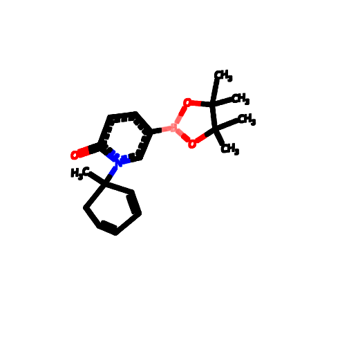 CC1(n2cc(B3OC(C)(C)C(C)(C)O3)ccc2=O)C=CC=CC1